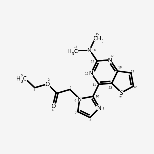 CCOC(=O)Cn1ccnc1-c1nc(N(C)C)nc2ccsc12